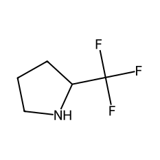 FC(F)(F)C1CCCN1